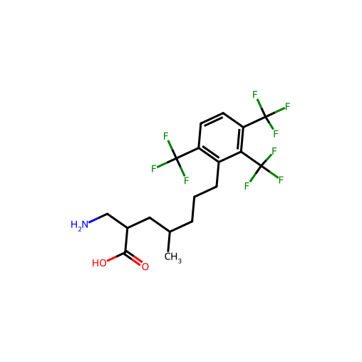 CC(CCCc1c(C(F)(F)F)ccc(C(F)(F)F)c1C(F)(F)F)CC(CN)C(=O)O